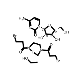 CCO.Nc1ccn([C@@H]2O[C@H](CO)[C@@H](O)[C@@H]2O)c(=O)n1.O=C(CCBr)N1CCN(C(=O)CCBr)CC1